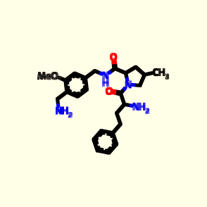 COc1cc(CNC(=O)C2CC(C)CN2C(=O)C(N)CCc2ccccc2)ccc1CN